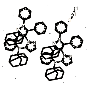 [Cl][Pd][Cl].c1ccc(-c2nn(-c3ccccc3)c(-c3ccccc3)c2-n2nccc2P(C23CC4CC(CC(C4)C2)C3)C23CC4CC(CC(C4)C2)C3)cc1.c1ccc(-c2nn(-c3ccccc3)c(-c3ccccc3)c2-n2nccc2P(C23CC4CC(CC(C4)C2)C3)C23CC4CC(CC(C4)C2)C3)cc1